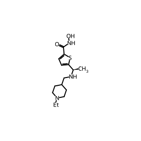 CCN1CCC(CN[C@H](C)c2ccc(C(=O)NO)s2)CC1